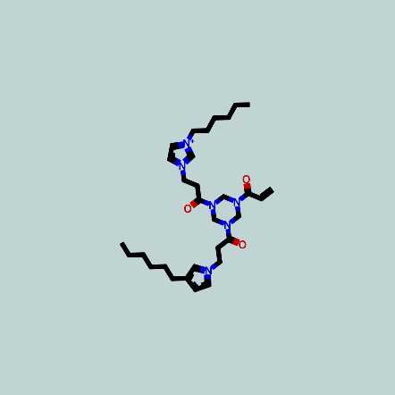 C=CC(=O)N1CN(C(=O)CCn2ccc(CCCCCC)c2)CN(C(=O)CCn2cc[n+](CCCCCC)c2)C1